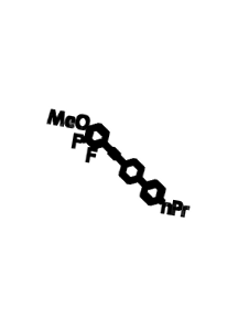 CCCc1ccc(C2CCC(C#Cc3ccc(OC)c(F)c3F)CC2)cc1